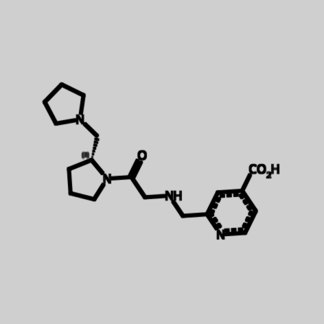 O=C(O)c1ccnc(CNCC(=O)N2CCC[C@@H]2CN2CCCC2)c1